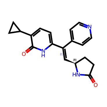 O=C1CC[C@H](/C=C(\c2ccncc2)c2ccc(C3CC3)c(=O)[nH]2)N1